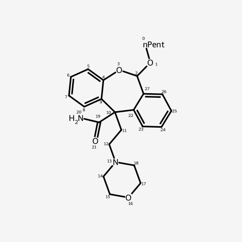 CCCCCOC1Oc2ccccc2C(CCN2CCOCC2)(C(N)=O)c2ccccc21